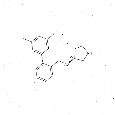 Cc1cc(C)cc(-c2ccccc2CO[C@H]2CCNC2)c1